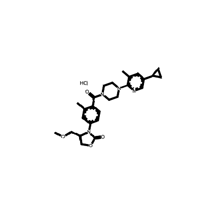 COCC1COC(=O)N1c1ccc(C(=O)N2CCN(c3ncc(C4CC4)cc3C)CC2)c(C)c1.Cl